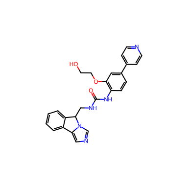 O=C(NCC1c2ccccc2-c2cncn21)Nc1ccc(-c2ccncc2)cc1OCCO